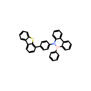 c1ccc(B2c3ccccc3-c3ccccc3N2c2ccc(-c3cccc4c3sc3ccccc34)cc2)cc1